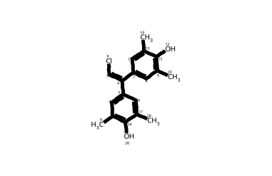 Cc1cc(C(=CCl)c2cc(C)c(O)c(C)c2)cc(C)c1O